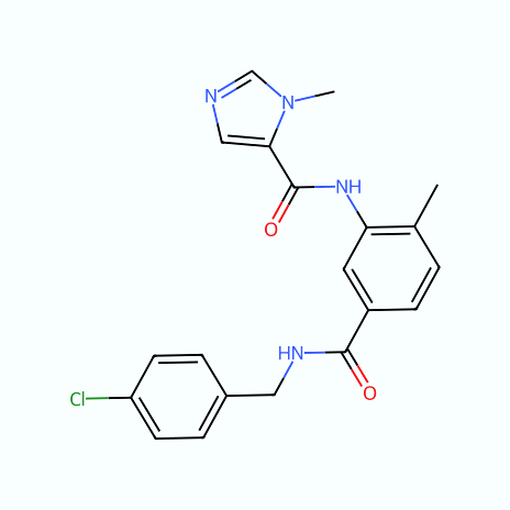 Cc1ccc(C(=O)NCc2ccc(Cl)cc2)cc1NC(=O)c1cncn1C